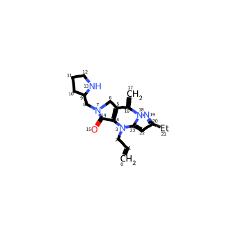 C=CCN1C2=C(CN(CC3CCCN3)C2=O)C(=C)n2nc(CC)cc21